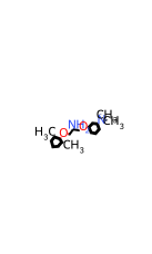 Cc1cccc(C)c1OCC(N)COc1cccc(N(C)C)c1